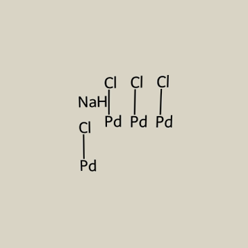 [Cl][Pd].[Cl][Pd].[Cl][Pd].[Cl][Pd].[NaH]